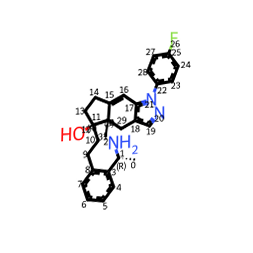 C[C@@H](N)c1ccccc1CC[C@]1(O)CCC2=Cc3c(cnn3-c3ccc(F)cc3)C[C@@]21C